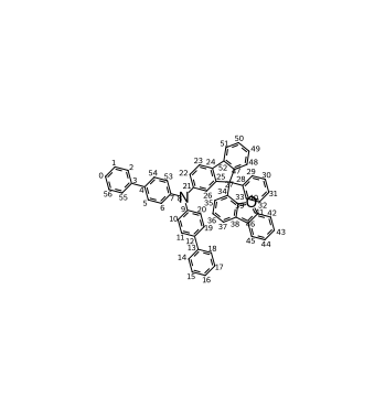 c1ccc(-c2ccc(N(c3ccc(-c4ccccc4)cc3)c3ccc4c(c3)C(c3ccccc3)(c3cccc5c3oc3ccccc35)c3ccccc3-4)cc2)cc1